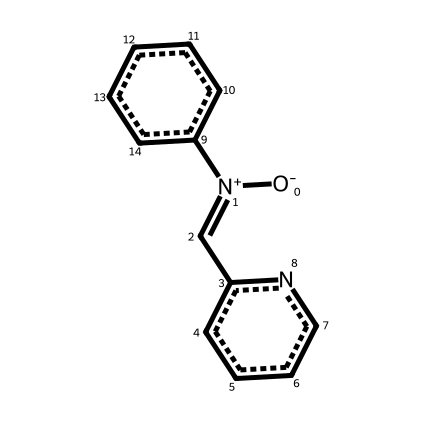 [O-][N+](=Cc1ccccn1)c1ccccc1